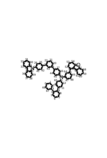 c1ccc(-c2ccccc2-c2ccc(N(c3ccc(-c4cccc(-c5ccc(-n6c7ccccc7c7ccccc76)cc5)c4)cc3)c3cccc(-c4cccc5oc6ccccc6c45)c3)cc2)cc1